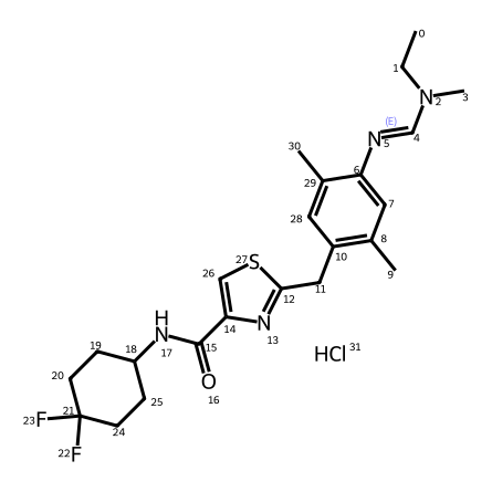 CCN(C)/C=N/c1cc(C)c(Cc2nc(C(=O)NC3CCC(F)(F)CC3)cs2)cc1C.Cl